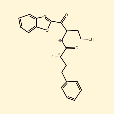 CCCC(NC(=O)[C@@H](F)CCc1ccccc1)C(=O)c1nc2ccccc2o1